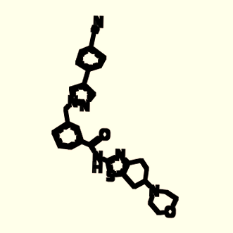 N#Cc1ccc(-c2cnn(Cc3cccc(C(=O)Nc4nc5c(s4)CC(N4CCOCC4)CC5)c3)c2)cc1